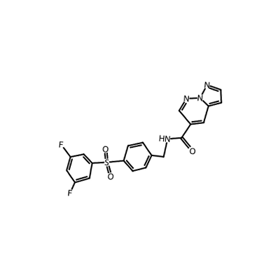 O=C(NCc1ccc(S(=O)(=O)c2cc(F)cc(F)c2)cc1)c1cnn2nccc2c1